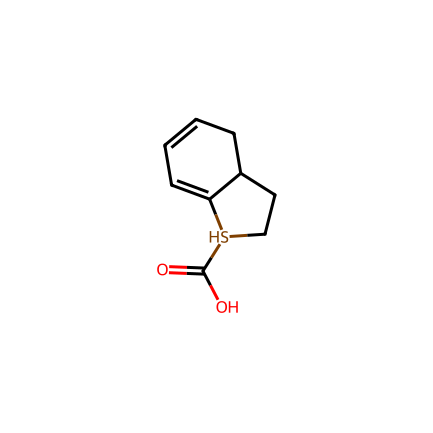 O=C(O)[SH]1CCC2CC=CC=C21